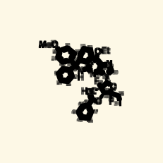 CCOc1nc(NC(c2ccccc2)(c2ccccc2)c2ccc(OC)cc2)nc2c1ncn2[C@@H]1O[C@](F)(CI)[C@@H](OC(=O)c2ccccc2)[C@@]1(C)F